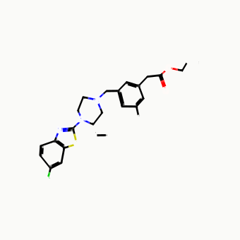 CCOC(=O)Cc1cc(C)cc(CN2CCN(c3nc4ccc(Cl)cc4s3)[C@@H](CC)C2)c1